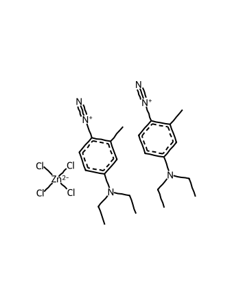 CCN(CC)c1ccc([N+]#N)c(C)c1.CCN(CC)c1ccc([N+]#N)c(C)c1.[Cl][Zn-2]([Cl])([Cl])[Cl]